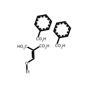 CCOC=C(C(=O)O)C(=O)O.O=C(O)c1ccccc1.O=C(O)c1ccccc1